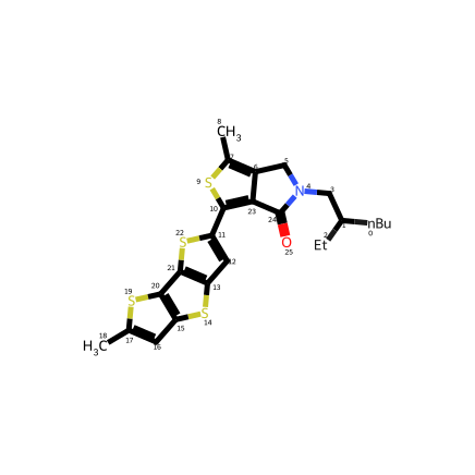 CCCCC(CC)CN1Cc2c(C)sc(-c3cc4sc5cc(C)sc5c4s3)c2C1=O